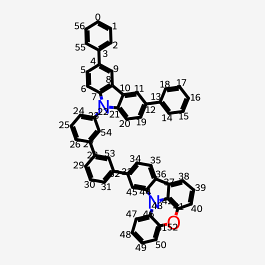 c1ccc(-c2ccc3c(c2)c2cc(-c4ccccc4)ccc2n3-c2cccc(-c3cccc(-c4ccc5c6cccc7c6n(c5c4)-c4ccccc4O7)c3)c2)cc1